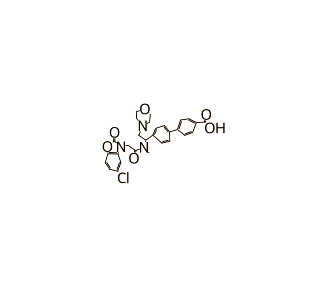 CN(C(=O)Cn1c(=O)oc2ccc(Cl)cc21)C(CN1CCOCC1)c1ccc(-c2ccc(C(=O)O)cc2)cc1